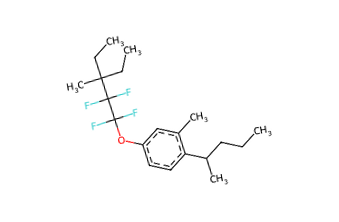 CCCC(C)c1ccc(OC(F)(F)C(F)(F)C(C)(CC)CC)cc1C